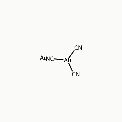 N#[C][Au]([C]#N)[C]#N.[Au]